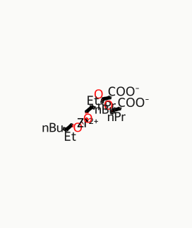 CCCC(=O)CC(=O)[O-].CCCC(=O)CC(=O)[O-].CCCCC(CC)C[O][Zr+2][O]CC(CC)CCCC